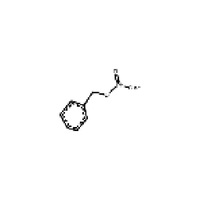 CC(=O)O[PH](=O)OCc1ccccc1